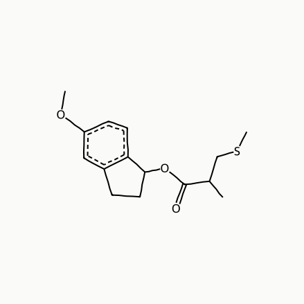 COc1ccc2c(c1)CCC2OC(=O)C(C)CSC